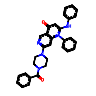 O=C(c1ccccc1)N1CCN(c2cc3c(cn2)c(=O)cc(Nc2ccccc2)n3-c2ccccc2)CC1